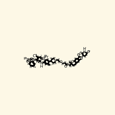 Cc1cc(Nc2ncc(Cl)c(Nc3ccccc3S(=O)(=O)C(C)C)n2)c(OC(C)C)cc1C1CCN(CCOCCC(=O)N2CC3(CCc4cc5c(cc4O3)C(=O)N(C3CCC(=O)NC3=O)C5)C2)CC1